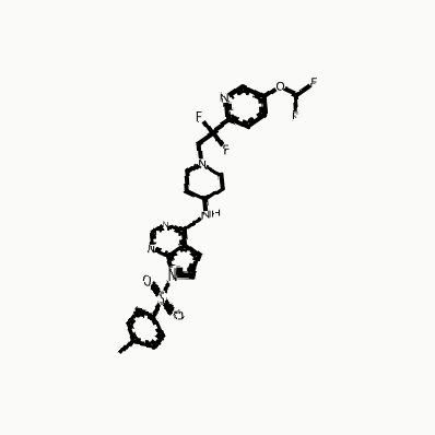 Cc1ccc(S(=O)(=O)n2ccc3c(NC4CCN(CC(F)(F)c5ccc(OC(F)F)cn5)CC4)ncnc32)cc1